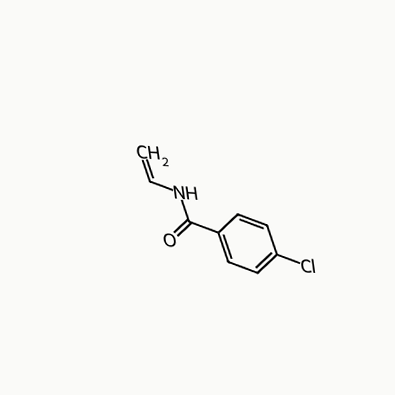 C=CNC(=O)c1ccc(Cl)cc1